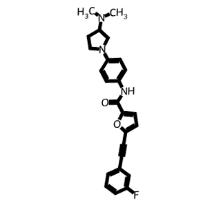 CN(C)C1CCN(c2ccc(NC(=O)c3ccc(C#Cc4cccc(F)c4)o3)cc2)C1